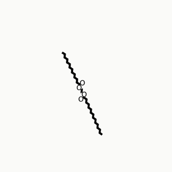 CCCCCCCCCCCCCCCC(=O)OCCOC(=O)CCCCCCCCCCCCC